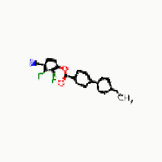 CCC1CCC(C2CCC(C(=O)Oc3ccc(C#N)c(F)c3F)CC2)CC1